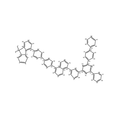 CC1(C)c2ccccc2-c2c(-c3ccc(-c4ccc(-c5cccc6c(-c7cccc(-c8nc(-c9ccccc9)nc(-c9ccc(-c%10ccccc%10)cc9)n8)c7)cccc56)cc4)cc3)cccc21